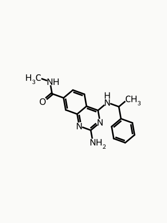 CNC(=O)c1ccc2c(NC(C)c3ccccc3)nc(N)nc2c1